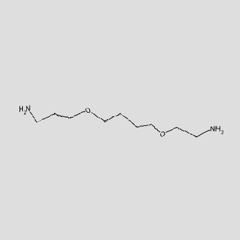 NCCCOCCCCOCCN